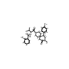 CC(C)[C@@H](NC(=O)c1ccccc1F)C(=O)N1CCC2(CC1)CC(=O)N(C)CC2c1ccc(F)cc1